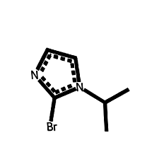 CC(C)n1ccnc1Br